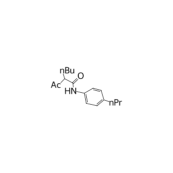 CCCCC(C(C)=O)C(=O)Nc1ccc(CCC)cc1